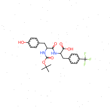 CC(C)(C)OC(=O)NC(Cc1ccc(O)cc1)C(=O)NC(Cc1ccc(C(F)(F)F)cc1)C(=O)O